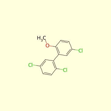 COc1ccc(Cl)cc1-c1cc(Cl)ccc1Cl